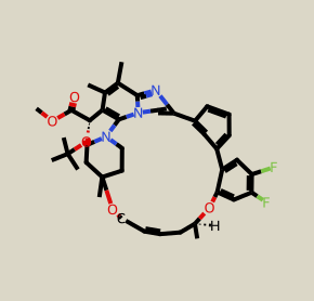 COC(=O)[C@@H](OC(C)(C)C)c1c(C)c(C)c2nc3cn2c1N1CCC(C)(CC1)OC/C=C\C[C@H](C)Oc1cc(F)c(F)cc1-c1cccc-3c1